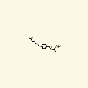 CC(C)CCCCCc1ccc(OCC(C)O)cc1